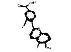 O=C(O)c1ccc(-c2ccc3c(F)c(O)ccc3n2)c(F)c1